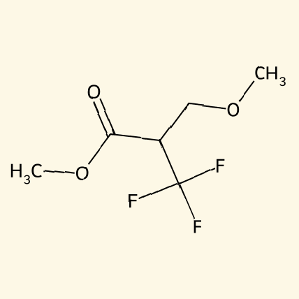 COCC(C(=O)OC)C(F)(F)F